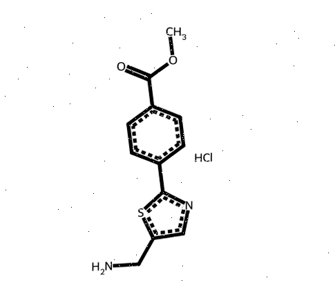 COC(=O)c1ccc(-c2ncc(CN)s2)cc1.Cl